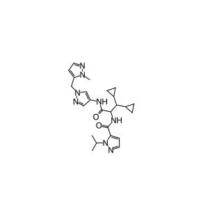 CC(C)n1nccc1C(=O)NC(C(=O)Nc1cnn(Cc2ccnn2C)c1)C(C1CC1)C1CC1